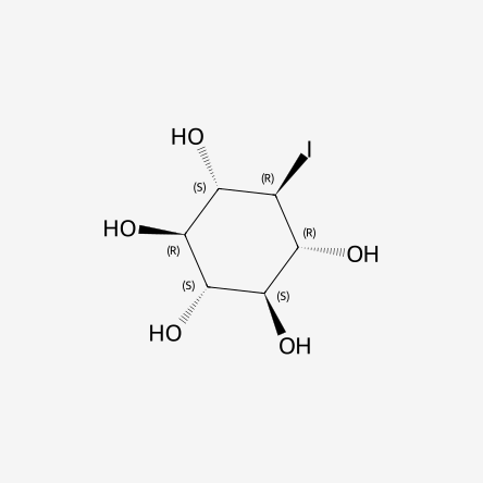 O[C@@H]1[C@@H](O)[C@H](O)[C@@H](I)[C@H](O)[C@H]1O